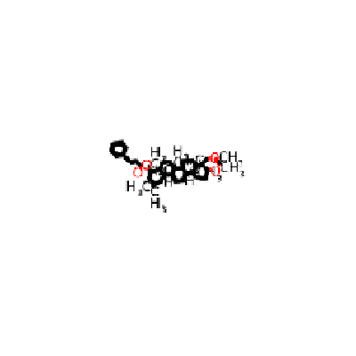 CC1(C)C[C@@H]2C3=CC[C@@H]4[C@@]5(C)CCC6OC(C)(C)OC[C@@]6(C)C5CC[C@@]4(C)[C@]3(C)CC[C@@]2(C)[C@H](OC(=O)C=Cc2ccccc2)C1